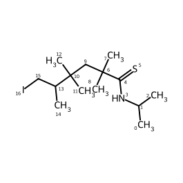 CC(C)NC(=S)C(C)(C)CC(C)(C)C(C)CI